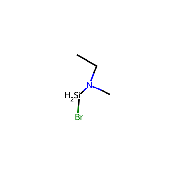 CCN(C)[SiH2]Br